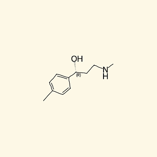 CNCC[C@@H](O)c1ccc(C)cc1